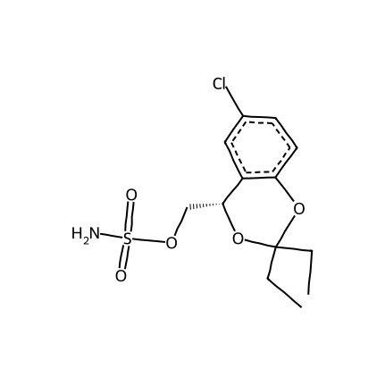 CCC1(CC)Oc2ccc(Cl)cc2[C@@H](COS(N)(=O)=O)O1